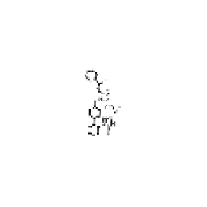 O=C(N=C1SCC(C(=O)O)N1Cc1ccc(-c2ccccc2-c2nnn[nH]2)cc1)c1ccccc1